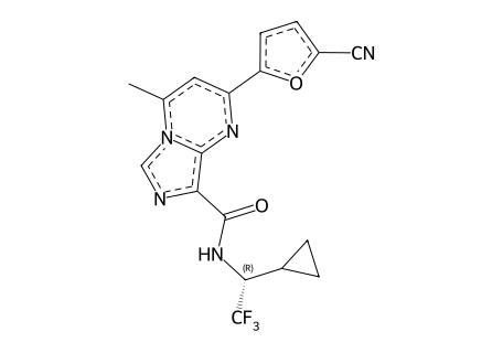 Cc1cc(-c2ccc(C#N)o2)nc2c(C(=O)N[C@H](C3CC3)C(F)(F)F)ncn12